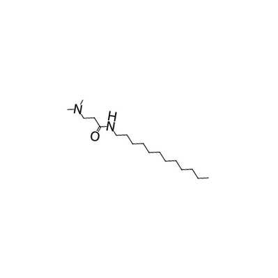 CCCCCCCCCCCCNC(=O)CCN(C)C